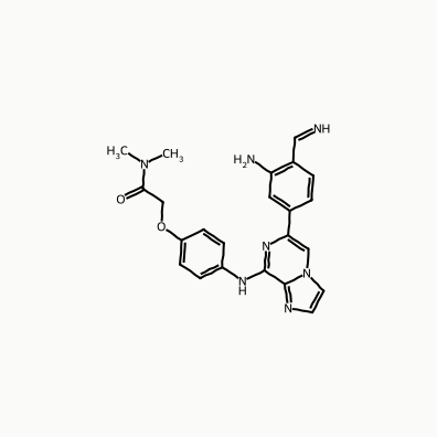 CN(C)C(=O)COc1ccc(Nc2nc(-c3ccc(C=N)c(N)c3)cn3ccnc23)cc1